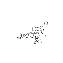 CC(=O)N[C@@H](Cc1ccc(OCC(=O)O)cc1)C(=O)N[C@H]1CCCCc2cc(OCC3CCCCC3)c(C(N)=O)cc21